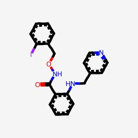 O=C(NOCc1ccccc1I)c1ccccc1NCc1ccncc1